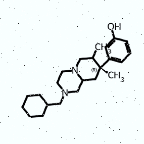 CC1CN2CCN(CC3CCCCC3)CC2C[C@@]1(C)c1cccc(O)c1